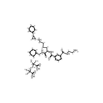 NCCNC(=O)c1cccc(C(=O)NC(CCCCN[C@@H]2C[C@H]2c2ccccc2)C(=O)NCc2ccccc2)c1.O=C(O)C(F)(F)F.O=C(O)C(F)(F)F